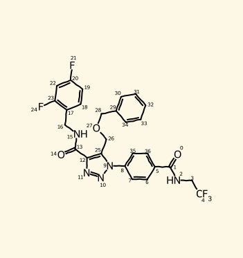 O=C(NCC(F)(F)F)c1ccc(-n2nnc(C(=O)NCc3ccc(F)cc3F)c2COCc2ccccc2)cc1